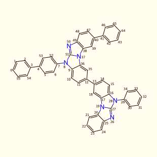 c1ccc(-c2ccc(-n3c4ccc(-c5ccc6c(c5)n5c7ccccc7nc5n6-c5ccccc5)cc4n4c5cc(-c6ccccc6)ccc5nc34)cc2)cc1